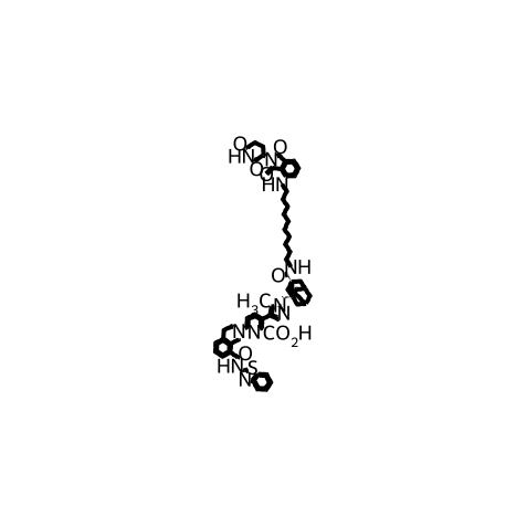 Cc1c(-c2ccc(N3CCc4cccc(C(=O)Nc5nc6ccccc6s5)c4C3)nc2C(=O)O)cnn1C[C@]12CC3CC(C1)C[C@](C(=O)NCCCCCCCCCCNc1cccc4c1C(=O)N(C1CCC(=O)NC1=O)C4=O)(C3)C2